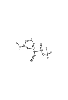 COc1cccc(C(C#N)C(=O)OC(C)(C)C)c1